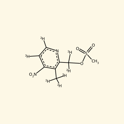 [2H]c1nc(C([2H])([2H])OS(C)(=O)=O)c(C([2H])([2H])[2H])c([N+](=O)[O-])c1[2H]